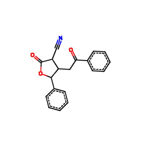 N#CC1C(=O)OC(c2ccccc2)C1CC(=O)c1ccccc1